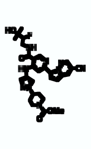 COC(=O)N1CCC(n2cc(Nc3cc(-c4ccc5cc(C#N)cnn45)ncc3C(=O)NCC(F)C(C)(C)O)cn2)CC1